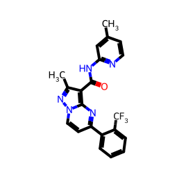 Cc1ccnc(NC(=O)c2c(C)nn3ccc(-c4ccccc4C(F)(F)F)nc23)c1